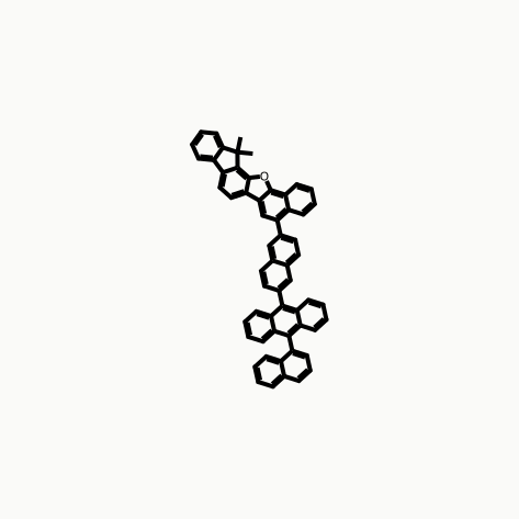 CC1(C)c2ccccc2-c2ccc3c(oc4c5ccccc5c(-c5ccc6cc(-c7c8ccccc8c(-c8cccc9ccccc89)c8ccccc78)ccc6c5)cc34)c21